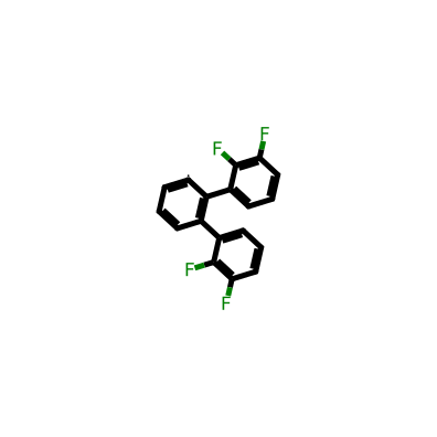 Fc1cccc(-c2[c]cccc2-c2cccc(F)c2F)c1F